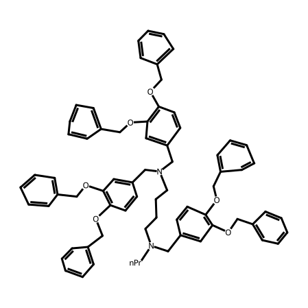 [CH2]CCN(CCCCN(Cc1ccc(OCc2ccccc2)c(OCc2ccccc2)c1)Cc1ccc(OCc2ccccc2)c(OCc2ccccc2)c1)Cc1ccc(OCc2ccccc2)c(OCc2ccccc2)c1